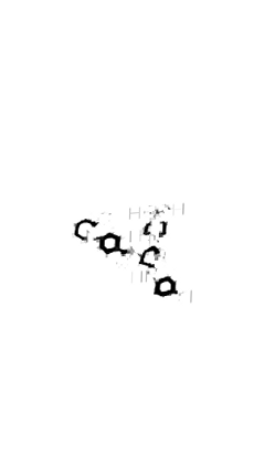 O=C(CC(NC(=O)c1ccc(N2CCCCC2=O)cc1)C(=O)N1CCS(O)(O)CC1)Nc1ccc(Cl)cc1